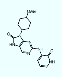 COC1CCC(n2c(=O)[nH]c3cnc(Nc4ccc[nH]c4=O)nc32)CC1